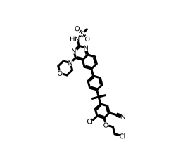 CC(C)(c1ccc(-c2ccc3nc(NS(C)(=O)=O)nc(N4CCOCC4)c3c2)cc1)c1cc(Cl)c(OCCCl)c(C#N)c1